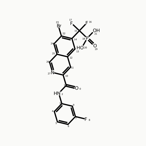 O=C(Nc1cccc(F)c1)c1cc2cc(C(F)(F)P(=O)(O)O)c(Br)cc2cn1